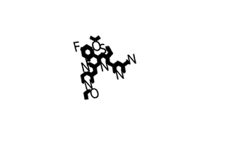 C=CC(=O)N1CCc2ncc(-c3nc(-c4cncc(C#N)c4)c4ccsc4c3-c3c(F)cc(F)cc3OC(C)C)cc2C1